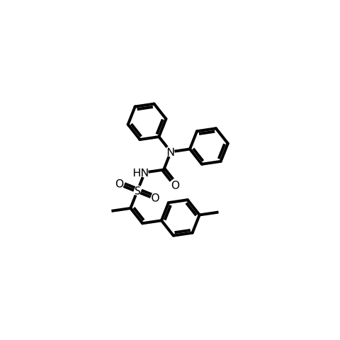 CC(=Cc1ccc(C)cc1)S(=O)(=O)NC(=O)N(c1ccccc1)c1ccccc1